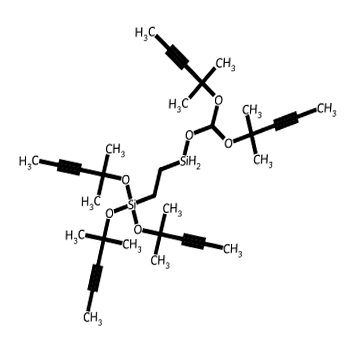 CC#CC(C)(C)OC(O[SiH2]CC[Si](OC(C)(C)C#CC)(OC(C)(C)C#CC)OC(C)(C)C#CC)OC(C)(C)C#CC